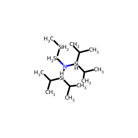 C[SiH2][SiH2]N([SiH](C(C)C)C(C)C)[SiH](C(C)C)C(C)C